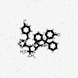 CC1(C)SC2C(NC(c3ccccc3)(c3ccccc3)c3cccc(Cl)c3)C(=O)N2C1c1nnnn1Cc1ccc(I)cc1